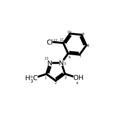 Cc1cc(O)n(-c2ccccc2Cl)n1